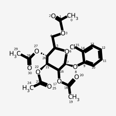 CC(=O)OCC1O[C@@H](Oc2ccccc2Cl)C(OC(C)=O)[C@@H](OC(C)=O)[C@@H]1OC(C)=O